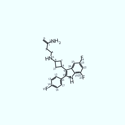 C=C(N)CCNC1CC(c2c(-c3ccc(F)cc3)[nH]c3c(F)cc(F)cc23)C1